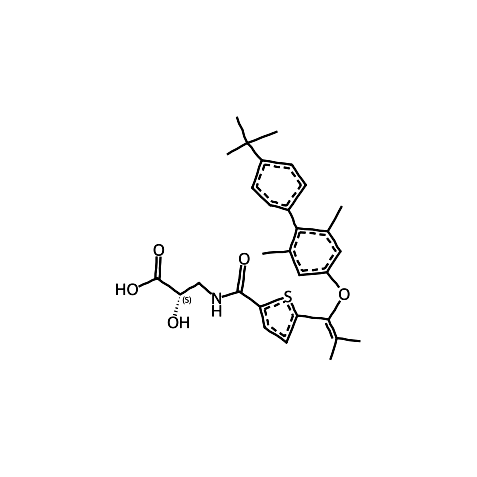 CC(C)=C(Oc1cc(C)c(-c2ccc(C(C)(C)C)cc2)c(C)c1)c1ccc(C(=O)NC[C@H](O)C(=O)O)s1